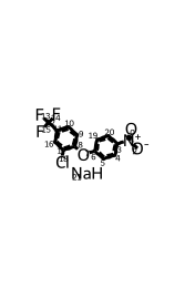 O=[N+]([O-])c1ccc(Oc2ccc(C(F)(F)F)cc2Cl)cc1.[NaH]